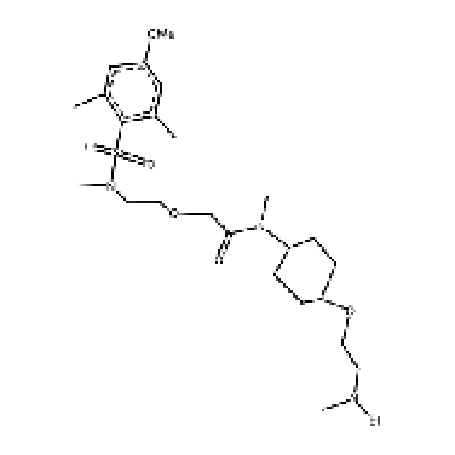 CCN(C)CCOC1CCC(N(C)C(=O)COCCN(C)S(=O)(=O)c2c(C)cc(OC)cc2C)CC1